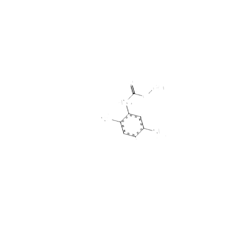 CC(C)(C)OC(=O)Nc1cc(N)ccc1C#N